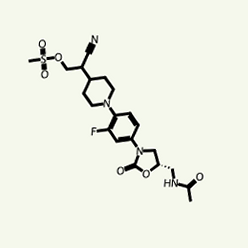 CC(=O)NC[C@H]1CN(c2ccc(N3CCC(C(C#N)COS(C)(=O)=O)CC3)c(F)c2)C(=O)O1